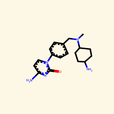 CN(Cc1ccc(-n2ccc(N)nc2=O)cc1)C1CCC(N)CC1